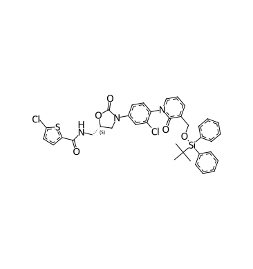 CC(C)(C)[Si](OCc1cccn(-c2ccc(N3C[C@H](CNC(=O)c4ccc(Cl)s4)OC3=O)cc2Cl)c1=O)(c1ccccc1)c1ccccc1